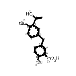 C=C(O)c1cc(Cc2ccc(C(C)(C)C)c(C(=O)O)c2)ccc1C(C)(C)C